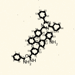 N=C(OC(N)c1ccccc1)c1ccc(-c2ccc(-c3ccccc3N)cc2-c2ccccc2-c2ccc(-c3nc(C4=CC=CCC4)nc(-c4ccccc4)n3)cc2)cc1